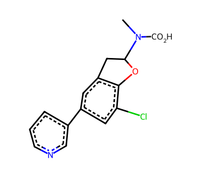 CN(C(=O)O)C1Cc2cc(-c3cccnc3)cc(Cl)c2O1